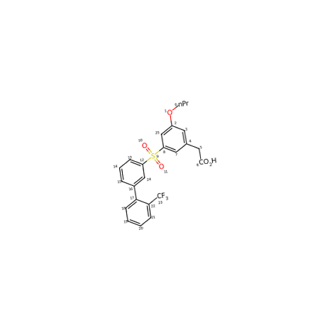 CCCOc1cc(CC(=O)O)cc(S(=O)(=O)c2cccc(-c3ccccc3C(F)(F)F)c2)c1